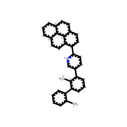 Cc1ccccc1-c1cccc(-c2ccc(-c3ccc4ccc5cccc6ccc3c4c56)nc2)c1C